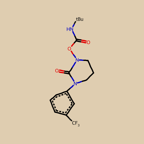 CC(C)(C)NC(=O)ON1CCCN(c2cccc(C(F)(F)F)c2)C1=O